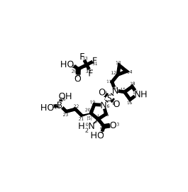 N[C@@]1(C(=O)O)CN(S(=O)(=O)N(CC2CC2)C2CNC2)C[C@@H]1CCCB(O)O.O=C(O)C(F)(F)F